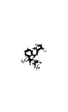 Cn1ncc(Cl)c1CC1c2ccccc2C(C)(C)N1C(=O)C(F)(F)F